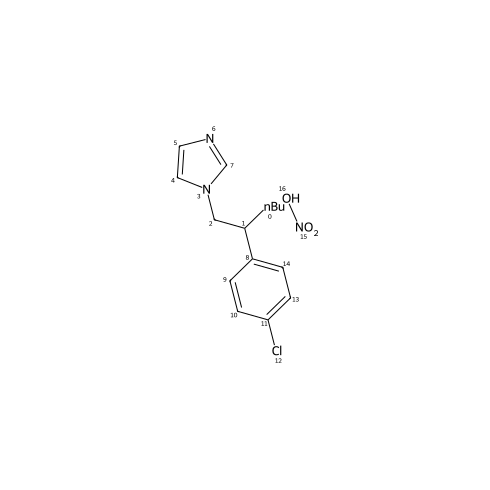 CCCCC(Cn1ccnc1)c1ccc(Cl)cc1.O=[N+]([O-])O